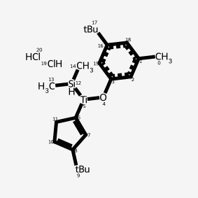 Cc1cc([O][Ti]([C]2=CC(C(C)(C)C)=CC2)[SiH](C)C)cc(C(C)(C)C)c1.Cl.Cl